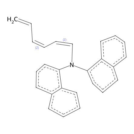 C=C/C=C\C=C/N(c1cccc2ccccc12)c1cccc2ccccc12